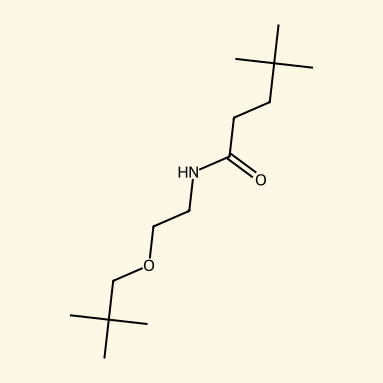 CC(C)(C)CCC(=O)NCCOCC(C)(C)C